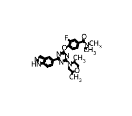 CC1CN(c2nc(Oc3ccc(C(=O)N(C)C)cc3F)nc(-c3ccc4[nH]ncc4c3)n2)C(C)CO1